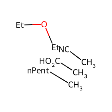 CC#N.CC(=O)O.CCCCCC.CCOCC